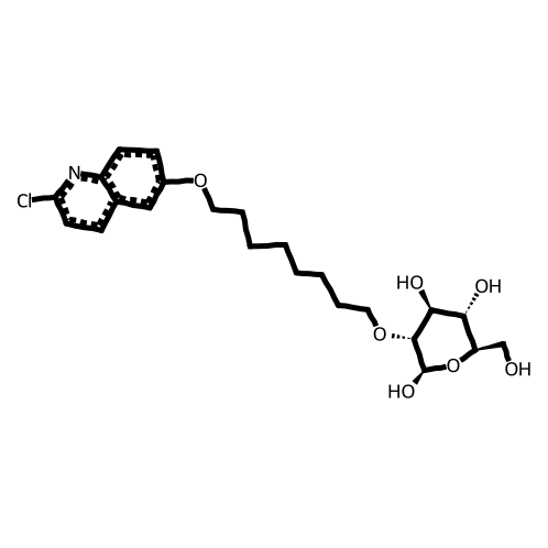 OC[C@H]1O[C@@H](O)[C@H](OCCCCCCCCOc2ccc3nc(Cl)ccc3c2)[C@@H](O)[C@@H]1O